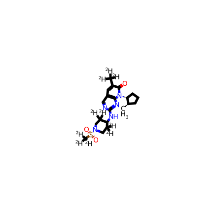 [2H]C([2H])([2H])c1cc2cnc(NC3C([2H])([2H])CN(S(=O)(=O)C([2H])([2H])[2H])CC3([2H])[2H])nc2n([C@@H]2CCC[C@@H]2C)c1=O